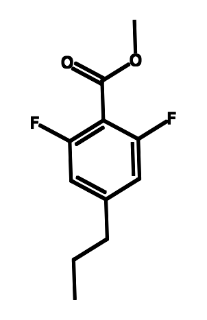 CCCc1cc(F)c(C(=O)OC)c(F)c1